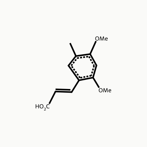 COc1cc(OC)c(C=CC(=O)O)cc1C